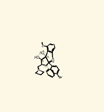 COc1cncc2c1[C@]1(O)[C@H](O)C(CN3CCC3)[C@@H](c3ccccc3)C1(c1ccc(Br)cc1)O2